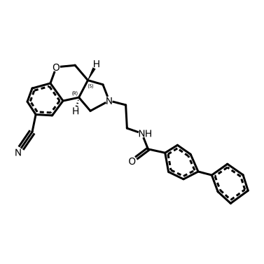 N#Cc1ccc2c(c1)[C@@H]1CN(CCNC(=O)c3ccc(-c4ccccc4)cc3)C[C@H]1CO2